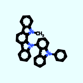 Cn1c2ccccc2c2ccc3c4ccccc4n(-c4cccc5c4c4ccccc4n5-c4ccccc4)c3c21